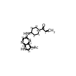 C=CC(=O)N1CCC(Nc2cnc3[nH]cc(C(C)=O)c3n2)CC1